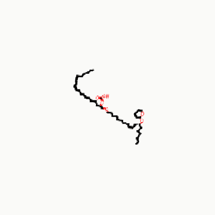 CCCCC/C=C\C/C=C\CCCCCCCCC(COCCCCCCCC/C=C\C[C@@H](CCCCCC)OC1CCCCO1)OC(=O)O